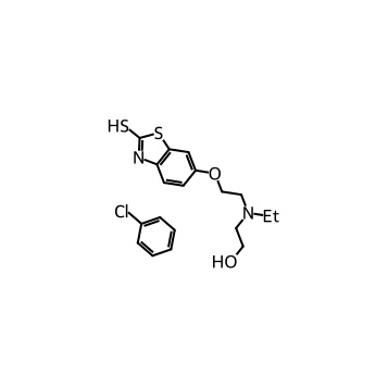 CCN(CCO)CCOc1ccc2nc(S)sc2c1.Clc1ccccc1